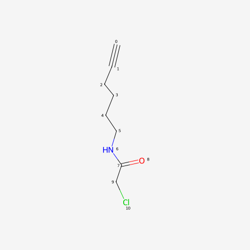 C#CCCCCNC(=O)CCl